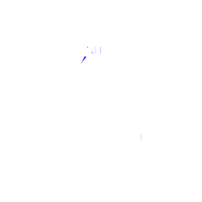 N[C@@H]1C[C@H]1c1cccc(F)c1